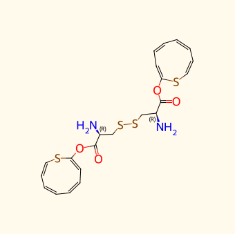 N[C@@H](CSSC[C@H](N)C(=O)Oc1cccccccs1)C(=O)Oc1cccccccs1